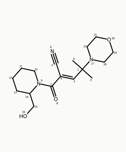 CC(C)(C=C(C#N)C(=O)N1CCCCC1CO)N1CCOCC1